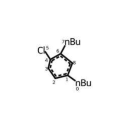 CCCCc1ccc(Cl)c(CCCC)c1